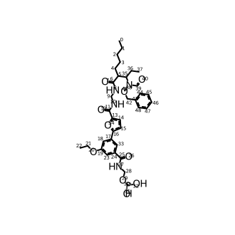 CCCCCC(C(=O)NCNC(=O)c1ccc(-c2cc(OCC)cc(C(=O)NCO[PH](=O)O)c2)o1)C(CC)N(C=O)OCc1ccccc1